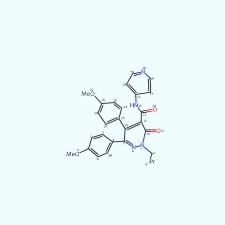 COc1ccc(-c2nn(CC(C)C)c(=O)c(C(=O)Nc3ccncc3)c2-c2ccc(OC)cc2)cc1